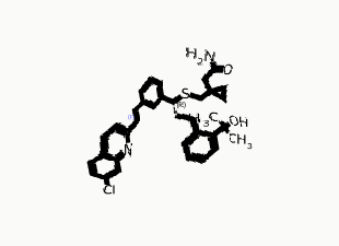 CC(C)(O)c1ccccc1CC[C@@H](SCC1(CC(N)=O)CC1)c1cccc(/C=C/c2ccc3ccc(Cl)cc3n2)c1